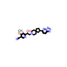 COc1cc([C@@H](O)CN2CCC3(CCC(c4ccc5nnnn5n4)C3)CC2)ncc1C#N